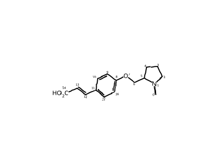 CN1CCCC1COc1ccc(C=CC(=O)O)cc1